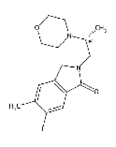 Cc1cc2c(cc1I)C(=O)N(C[C@@H](C)N1CCOCC1)C2